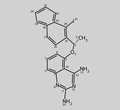 C[C@H](Oc1cccc2nc(N)nc(N)c12)c1ccc2ccccc2c1I